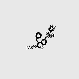 CNC1COc2ccc(CNS(=O)(=O)c3cnn(C)c3)cc2C1Cc1ccccc1